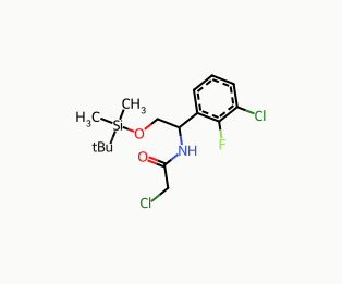 CC(C)(C)[Si](C)(C)OCC(NC(=O)CCl)c1cccc(Cl)c1F